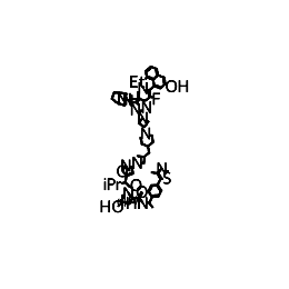 CCc1cccc2cc(O)cc(-c3ncc4c(N5CC6CCC(C5)N6)nc(N5CC(N6CCC(CC7CN(c8cc(C(C(=O)N9C[C@H](O)C[C@H]9C(=O)NC(C)c9ccc(-c%10scnc%10C)cc9)C(C)C)on8)C7)CC6)C5)nc4c3F)c12